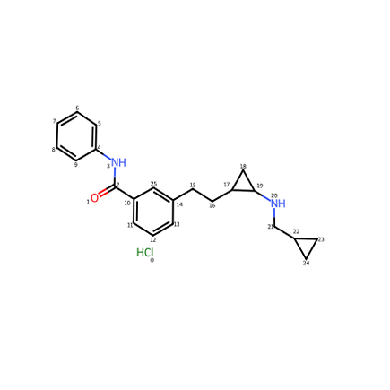 Cl.O=C(Nc1ccccc1)c1cccc(CCC2CC2NCC2CC2)c1